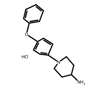 Cl.NC1CCN(c2ccc(Oc3ccccc3)cc2)CC1